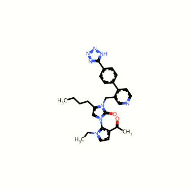 CCCCc1cn(-c2c(C(C)=O)ccn2CC)c(=O)n1Cc1cnccc1-c1ccc(-c2nnn[nH]2)cc1